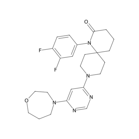 O=C1CCCC2(CCN(c3cc(N4CCCOCC4)ncn3)CC2)N1c1ccc(F)c(F)c1